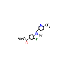 COC(=O)c1ccc(N(Cc2ccc(C(F)(F)F)nc2)C(C)C)c(F)c1